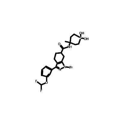 CC(C)n1nc(-c2cccc(OC(F)F)c2)c2c1CC(C(=O)NC1(C)CCS(O)(O)CC1)CC2